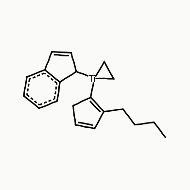 CCCCC1=[C]([Ti]2([CH]3C=Cc4ccccc43)[CH2][CH2]2)CC=C1